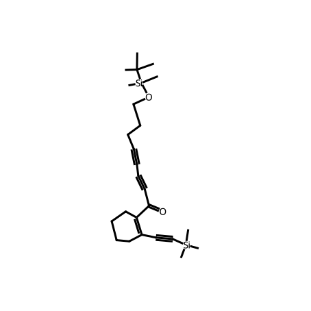 CC(C)(C)[Si](C)(C)OCCCC#CC#CC(=O)C1=C(C#C[Si](C)(C)C)CCCC1